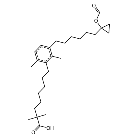 Cc1ccc(CCCCCCC2(OC=O)CC2)c(C)c1CCCCCCC(C)(C)C(=O)O